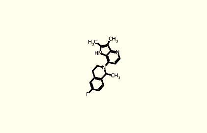 Cc1[nH]c2c(N3CCc4cc(F)ccc4C3C)ccnc2c1C